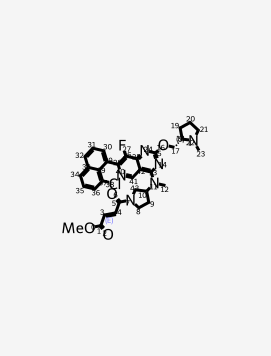 COC(=O)/C=C/C(=O)N1CCC(N(C)c2nc(OC[C@@H]3CCCN3C)nc3c(F)c(-c4cccc5cccc(Cl)c45)ncc23)C1